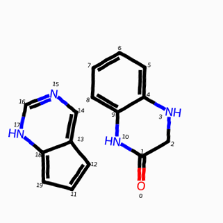 O=C1CNc2ccccc2N1.c1cc2cnc[nH]c-2c1